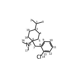 CC(C)C1CCC(Cc2ccccc2Cl)(N(C)C)CC1